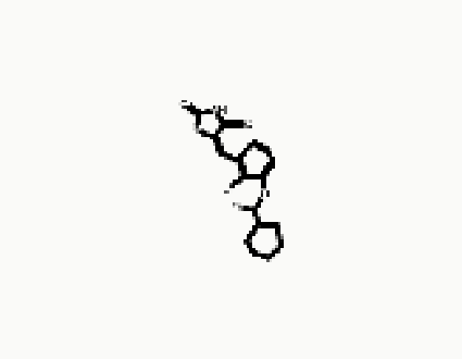 CCC(Oc1cccc(C=C2SC(=O)NC2=O)c1Cl)C1CCCCC1